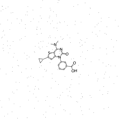 CN(C)c1nc(=O)n(-c2cccc(C(=O)O)c2)c2cc(C3CC3)sc12